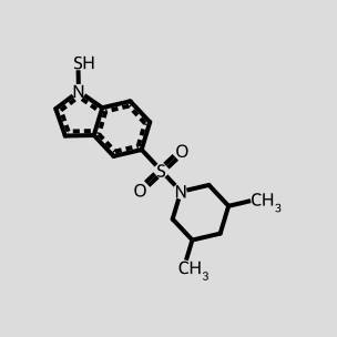 CC1CC(C)CN(S(=O)(=O)c2ccc3c(ccn3S)c2)C1